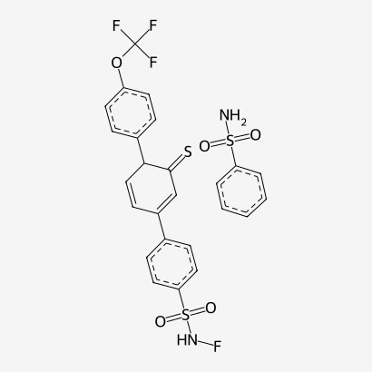 NS(=O)(=O)c1ccccc1.O=S(=O)(NF)c1ccc(C2=CC(=S)C(c3ccc(OC(F)(F)F)cc3)C=C2)cc1